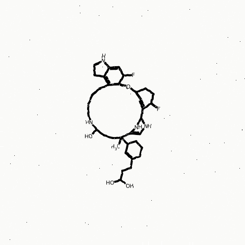 CC1(C2C=C(CCC(O)O)CCC2)CCC(O)NCCCCC2=C3CCNC3=CC(F)C2OC2C=C(C(F)CC2)C2NC=C1N2